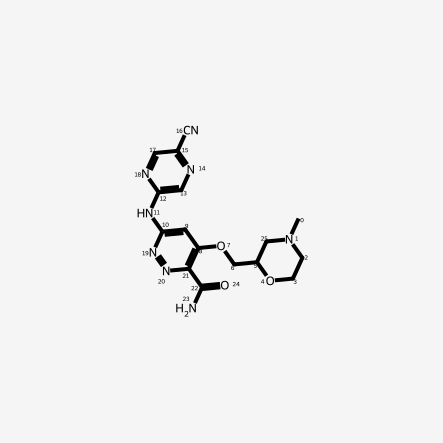 CN1CCOC(COc2cc(Nc3cnc(C#N)cn3)nnc2C(N)=O)C1